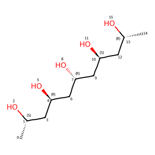 C[C@H](O)C[C@@H](O)C[C@H](O)C[C@@H](O)C[C@@H](C)O